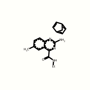 C1=CC2=CC=C1C2.CCNC(=O)c1nc(N)nc2ccc(C)cc12